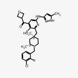 Cc1cc(Nc2cc(C(=O)C3COC3)c(F)c(C[C@@]3(C(=O)O)CCN(Cc4cccc(Cl)c4F)[C@H](C)C3)n2)n[nH]1